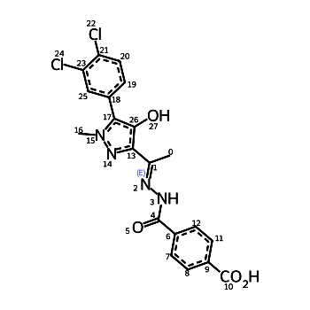 C/C(=N\NC(=O)c1ccc(C(=O)O)cc1)c1nn(C)c(-c2ccc(Cl)c(Cl)c2)c1O